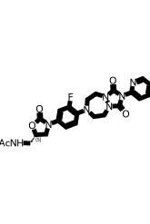 CC(=O)NC[C@H]1CN(c2ccc(N3CCn4c(=O)n(-c5ccccn5)c(=O)n4CC3)c(F)c2)C(=O)O1